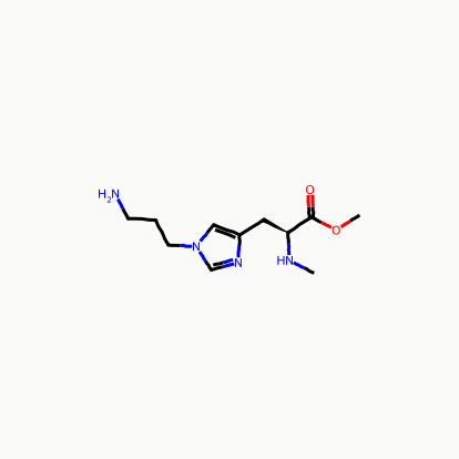 CN[C@@H](Cc1cn(CCCN)cn1)C(=O)OC